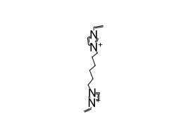 C=Cn1cc[n+](CCCCCCn2cc[n+](C=C)c2)c1